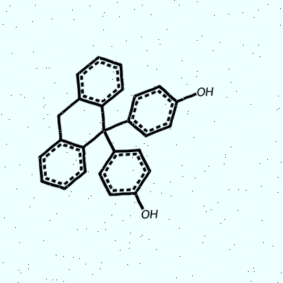 Oc1ccc(C2(c3ccc(O)cc3)c3ccccc3Cc3ccccc32)cc1